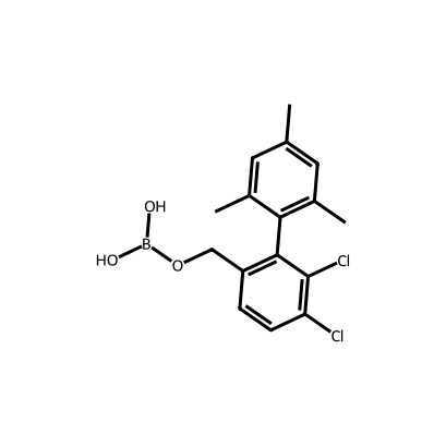 Cc1cc(C)c(-c2c(COB(O)O)ccc(Cl)c2Cl)c(C)c1